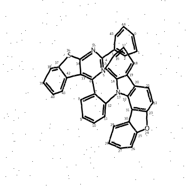 c1ccc(-c2nc(-c3ccccc3-n3c4ccccc4c4ccc5oc6ccccc6c5c43)c3c(n2)sc2ccccc23)cc1